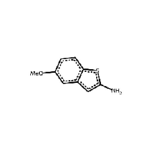 COc1ccc2sc(N)cc2c1